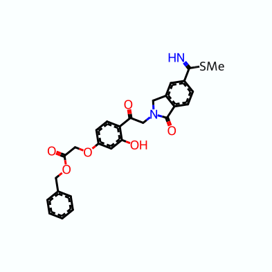 CSC(=N)c1ccc2c(c1)CN(CC(=O)c1ccc(OCC(=O)OCc3ccccc3)cc1O)C2=O